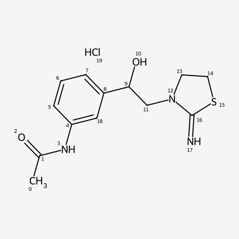 CC(=O)Nc1cccc(C(O)CN2CCSC2=N)c1.Cl